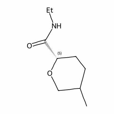 CCNC(=O)[C@@H]1CCC(C)CO1